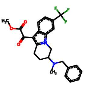 COC(=O)C(=O)c1c2n(c3cc(C(F)(F)F)ccc13)CC(N(C)Cc1ccccc1)CC2